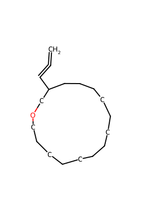 C=C=CC1CCCCCCCCCCCCCOC1